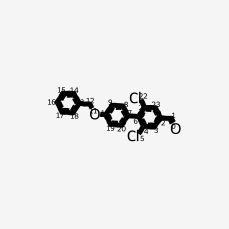 O=Cc1cc(Cl)c(-c2ccc(OCc3ccccc3)cc2)c(Cl)c1